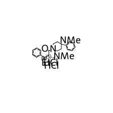 CC[C@@H](c1ccccc1)[C@@H](CNC)C(=O)N1CCC(NC)(c2ccccc2)CC1.Cl.Cl